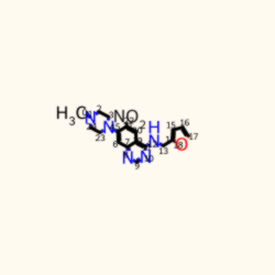 CN1CCN(c2cc3ncnc(NCc4ccco4)c3cc2[N+](=O)[O-])CC1